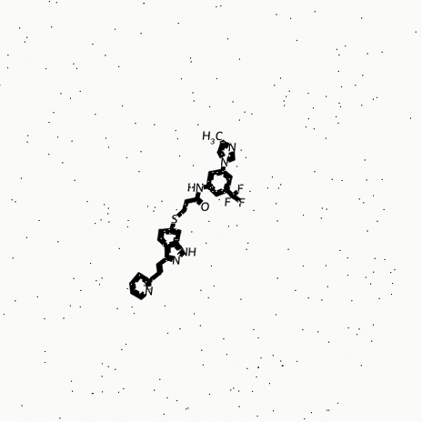 Cc1cn(-c2cc(NC(=O)CCSc3ccc4c(C=Cc5ccccn5)n[nH]c4c3)cc(C(F)(F)F)c2)cn1